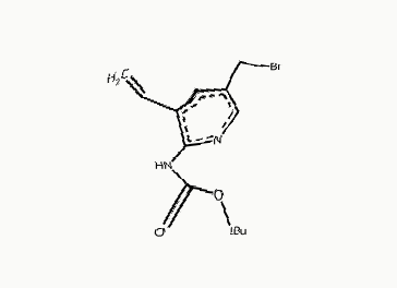 C=Cc1cc(CBr)cnc1NC(=O)OC(C)(C)C